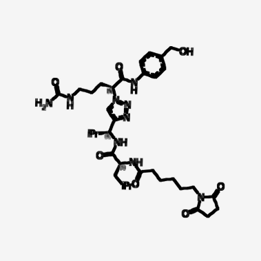 CC(C)C[C@H](NC(=O)CCCCCN1C(=O)CCC1=O)C(=O)N[C@H](c1cn([C@@H](CCCNC(N)=O)C(=O)Nc2ccc(CO)cc2)nn1)C(C)C